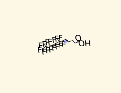 O=C(O)CC/C=C/C(F)(F)C(F)(F)C(F)(F)C(F)(F)C(F)(F)C(F)(F)C(F)(F)F